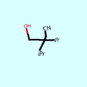 CC(C)C(C#N)(CO)C(C)C